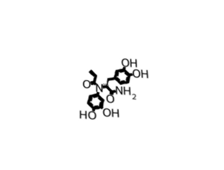 C=CC(=O)N(c1ccc(O)c(O)c1)[C@@H](Cc1ccc(O)c(O)c1)C(N)=O